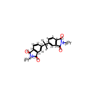 CC(C)N1C(=O)c2ccc(C(C)(C)c3ccc4c(c3)C(=O)N(C(C)C)C4=O)cc2C1=O